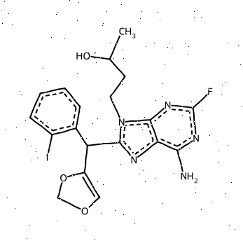 CC(O)CCn1c(C(C2=COCO2)c2ccccc2I)nc2c(N)nc(F)nc21